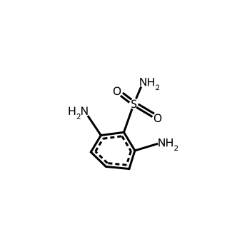 Nc1cccc(N)c1S(N)(=O)=O